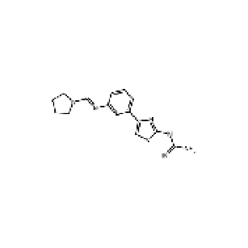 N=C(N)Nc1nc(-c2cccc(N=CN3CCCC3)c2)cs1